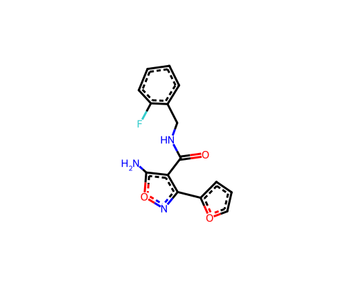 Nc1onc(-c2ccco2)c1C(=O)NCc1ccccc1F